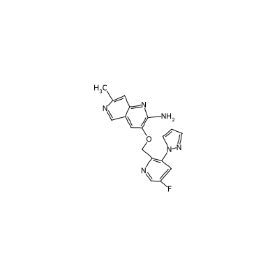 Cc1cc2nc(N)c(OCc3ncc(F)cc3-n3cccn3)cc2cn1